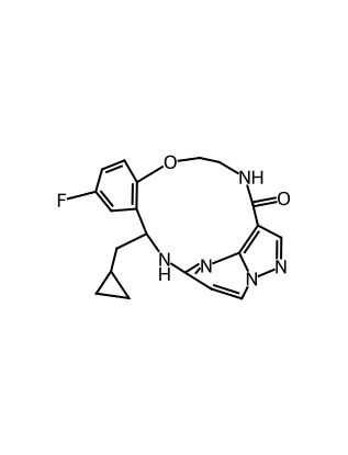 O=C1NCCOc2ccc(F)cc2C(CC2CC2)Nc2ccn3ncc1c3n2